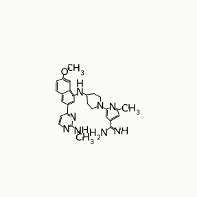 CNc1nccc(-c2cc(NC3CCN(c4cc(C(=N)N)cc(C)n4)CC3)c3cc(OC)ccc3c2)n1